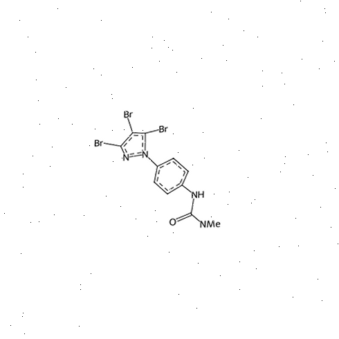 CNC(=O)Nc1ccc(-n2nc(Br)c(Br)c2Br)cc1